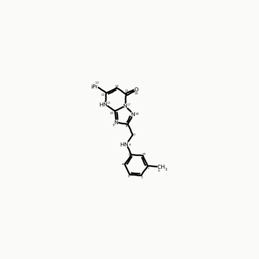 Cc1cccc(NCc2nc3[nH]c(C(C)C)cc(=O)n3n2)c1